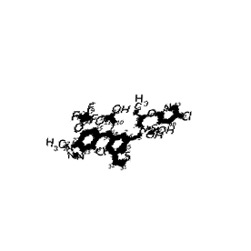 CC[C@@H]1CN(Cc2cc([C@@H](CC(=O)O)c3cc(OC(F)(F)F)c4c(nnn4C)c3C)cc3ccsc23)S(O)(O)c2cc(Cl)cnc2O1